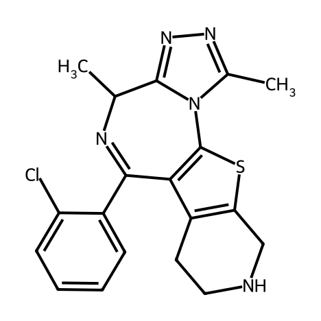 Cc1nnc2n1-c1sc3c(c1C(c1ccccc1Cl)=NC2C)CCNC3